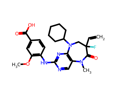 C=CC1(F)CN(C2CCCCC2)c2nc(Nc3ccc(C(=O)O)cc3OC)ncc2N(C)C1=O